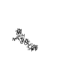 N#CN1C[C@H](NC(=O)c2ncc(-c3ccc(F)c(OC(F)(F)F)c3)o2)C[C@H]1Cn1ccnn1